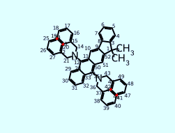 CC1(C)c2ccccc2-c2cc3c(N(Cc4ccccc4)Cc4ccccc4)c4ccccc4c(N(Cc4ccccc4)Cc4ccccc4)c3cc21